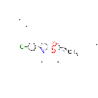 C/C=C/[C@H]1CO[C@H](c2ccc(-c3ccc(Cl)cc3)nc2)OC1